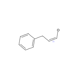 [O]/C=C\Cc1ccccc1